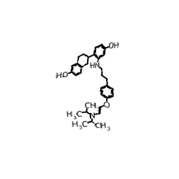 CC(C)N(CCOc1ccc(CCCNc2cc(O)ccc2C2CCc3cc(O)ccc3C2)cc1)C(C)C